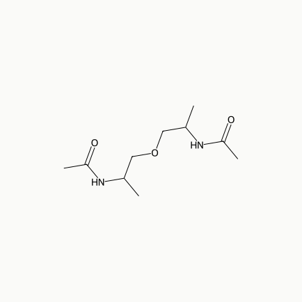 CC(=O)NC(C)COCC(C)NC(C)=O